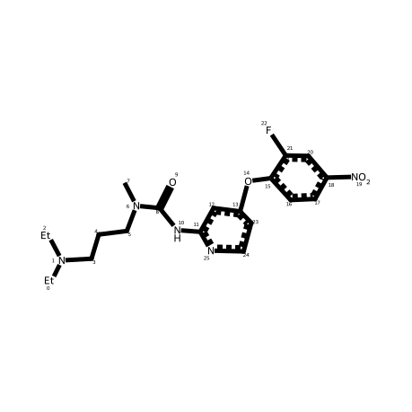 CCN(CC)CCCN(C)C(=O)Nc1cc(Oc2ccc([N+](=O)[O-])cc2F)ccn1